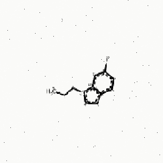 CCCn1ccc2ccc(F)cc21